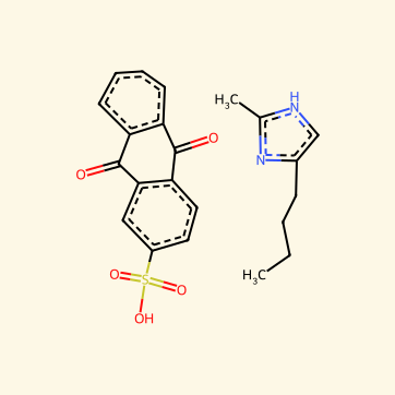 CCCCc1c[nH]c(C)n1.O=C1c2ccccc2C(=O)c2cc(S(=O)(=O)O)ccc21